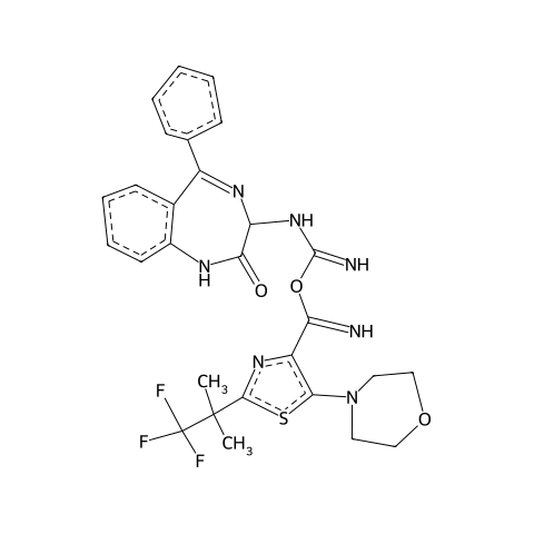 CC(C)(c1nc(C(=N)OC(=N)NC2N=C(c3ccccc3)c3ccccc3NC2=O)c(N2CCOCC2)s1)C(F)(F)F